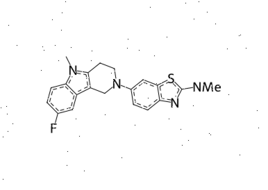 CNc1nc2ccc(N3CCc4c(c5cc(F)ccc5n4C)C3)cc2s1